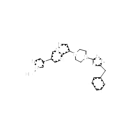 Cn1cc(-c2cnc3c(N4CCN(c5nnc(Cc6ccccc6)s5)CC4)cnn3c2)cn1